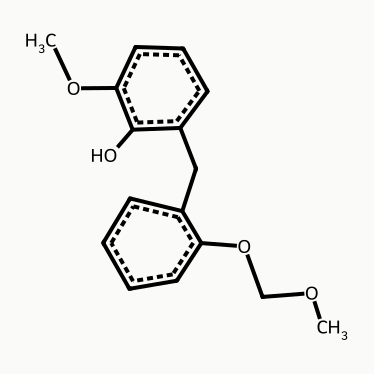 COCOc1ccccc1Cc1cccc(OC)c1O